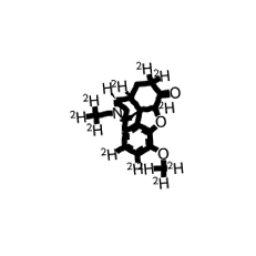 [2H]c1c([2H])c(OC([2H])([2H])[2H])c2c3c1C[C@H]1N(C([2H])([2H])[2H])CC[C@@]34C([2H])(O2)C(=O)C([2H])([2H])C[C@@]14[2H]